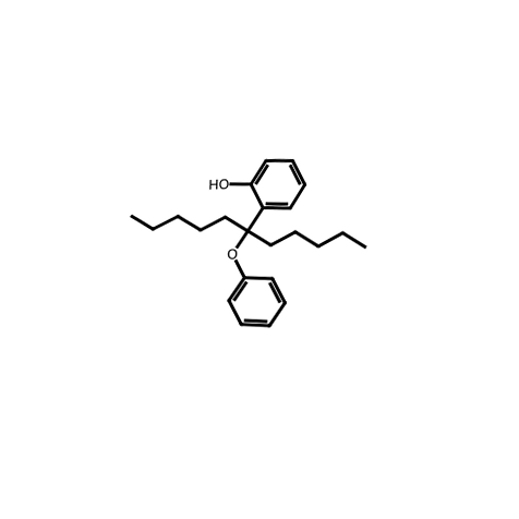 CCCCCC(CCCCC)(Oc1ccccc1)c1ccccc1O